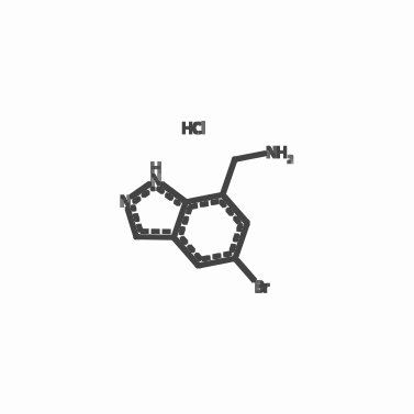 Cl.NCc1cc(Br)cc2cn[nH]c12